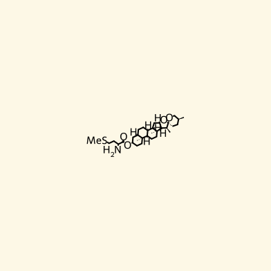 CSCCC(N)C(=O)O[C@H]1CC[C@@]2(C)[C@H](CC[C@@H]3[C@@H]2CC[C@]2(C)[C@@H]4[C@H](C[C@@H]32)O[C@]2(CC[C@H](C)CO2)[C@H]4C)C1